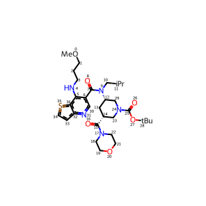 COCCCNc1c(C(=O)N(CC(C)C)[C@H]2C[C@@H](C(=O)N3CCOCC3)CN(C(=O)OC(C)(C)C)C2)cnc2ccsc12